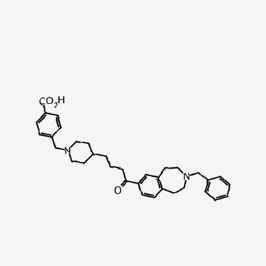 O=C(O)c1ccc(CN2CCC(CCCC(=O)c3ccc4c(c3)CCN(Cc3ccccc3)CC4)CC2)cc1